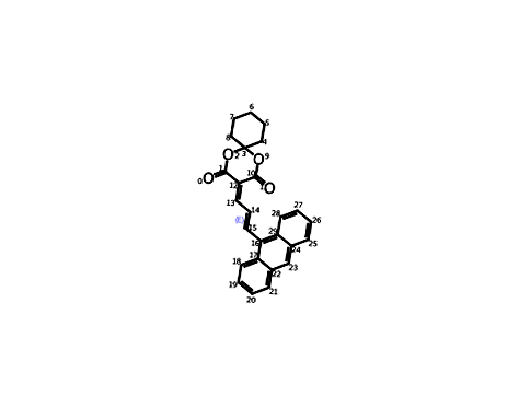 O=C1OC2(CCCCC2)OC(=O)C1=C/C=C/c1c2ccccc2cc2ccccc12